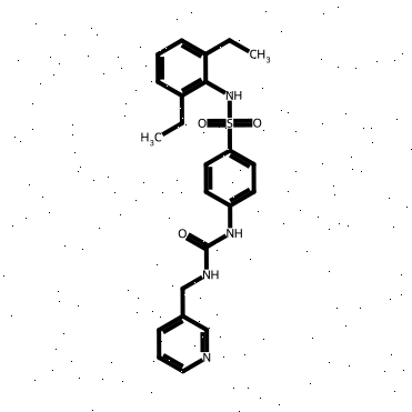 CCc1cccc(CC)c1NS(=O)(=O)c1ccc(NC(=O)NCc2cccnc2)cc1